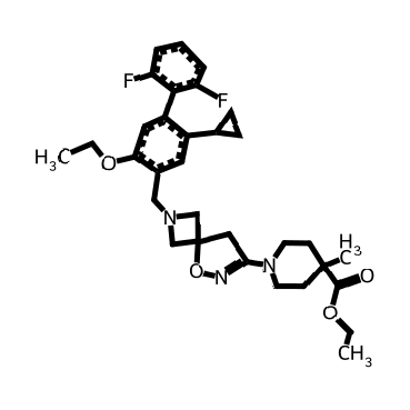 CCOC(=O)C1(C)CCN(C2=NOC3(C2)CN(Cc2cc(C4CC4)c(-c4c(F)cccc4F)cc2OCC)C3)CC1